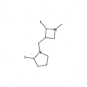 CN1CC(CN2CCCC2I)C1I